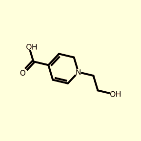 O=C(O)C1=CCN(CCO)C=C1